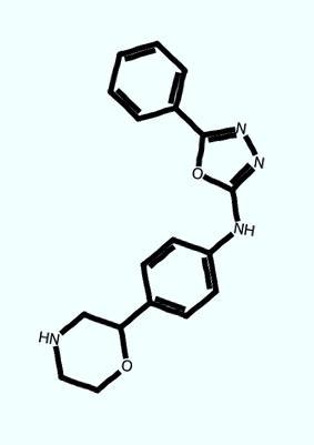 c1ccc(-c2nnc(Nc3ccc(C4CNCCO4)cc3)o2)cc1